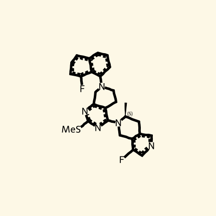 CSc1nc2c(c(N3Cc4c(F)cncc4C[C@@H]3C)n1)CCN(c1cccc3cccc(F)c13)C2